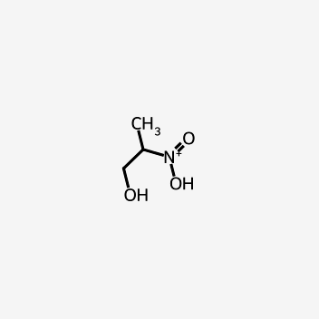 CC(CO)[N+](=O)O